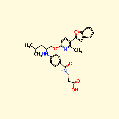 Cc1nc(OCC(CC(C)C)Nc2ccc(C(=O)NCCC(=O)O)cc2)ccc1-c1cc2ccccc2o1